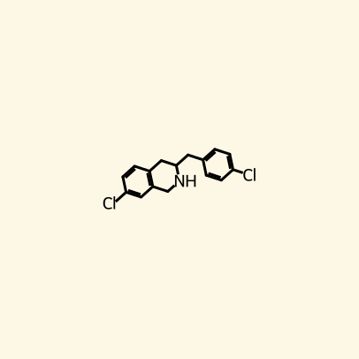 Clc1ccc(CC2Cc3ccc(Cl)cc3CN2)cc1